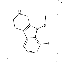 Fc1cccc2c3c(n(SI)c12)CNCC3